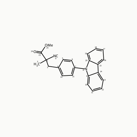 [C-]#[N+]C(C)(Cc1ccc(-n2c3ccccc3c3ccccc32)cc1)C(=O)OC